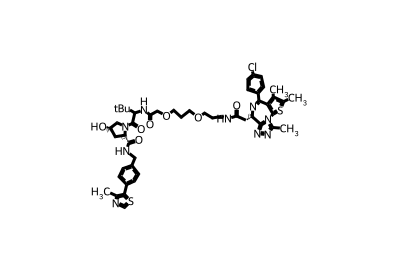 Cc1ncsc1-c1ccc(CNC(=O)[C@@H]2C[C@@H](O)CN2C(=O)C(NC(=O)COCCCOCCCNC(=O)C[C@@H]2N=C(c3ccc(Cl)cc3)c3c(sc(C)c3C)-n3c(C)nnc32)C(C)(C)C)cc1